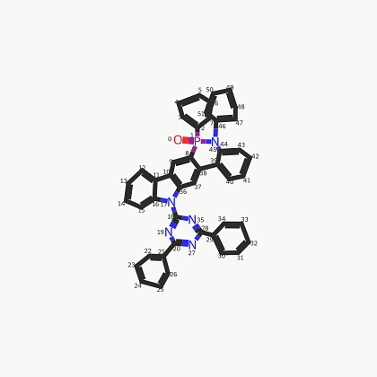 O=P1(c2ccccc2)c2cc3c4ccccc4n(-c4nc(-c5ccccc5)nc(-c5ccccc5)n4)c3cc2-c2ccccc2N1c1ccccc1